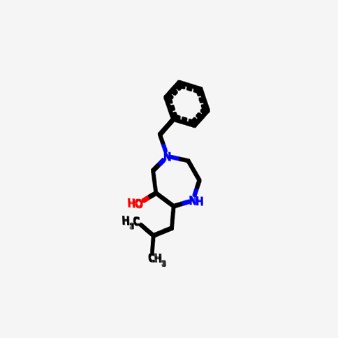 CC(C)CC1NCCN(Cc2ccccc2)CC1O